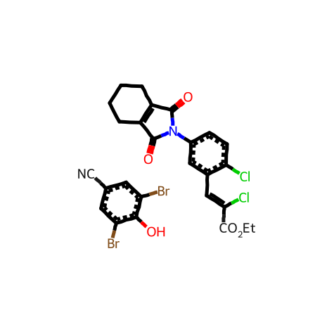 CCOC(=O)/C(Cl)=C/c1cc(N2C(=O)C3=C(CCCC3)C2=O)ccc1Cl.N#Cc1cc(Br)c(O)c(Br)c1